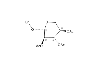 CC(=O)O[C@@H]1[C@@H](OC(C)=O)[C@H](OBr)OC[C@H]1OC(C)=O